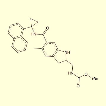 Cc1cc2c(cc1C(=O)NC1(c3cccc4ccccc34)CC1)NC(CNC(=O)OC(C)(C)C)C2